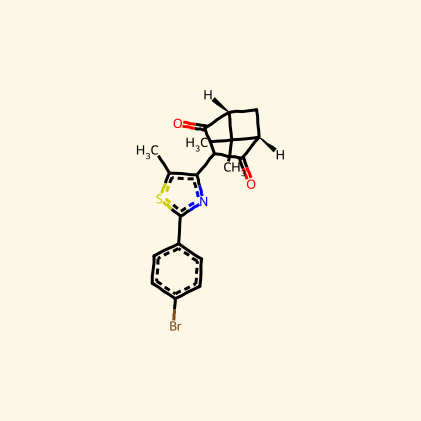 Cc1sc(-c2ccc(Br)cc2)nc1C1C(=O)[C@H]2C[C@@H](C1=O)C2(C)C